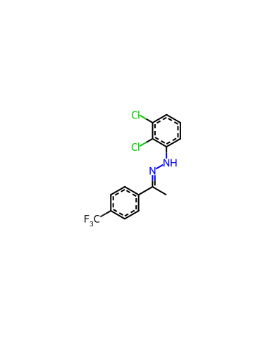 C/C(=N\Nc1cccc(Cl)c1Cl)c1ccc(C(F)(F)F)cc1